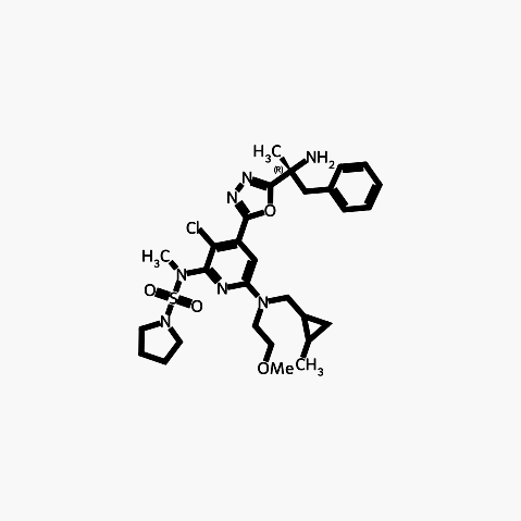 COCCN(CC1CC1C)c1cc(-c2nnc([C@](C)(N)Cc3ccccc3)o2)c(Cl)c(N(C)S(=O)(=O)N2CCCC2)n1